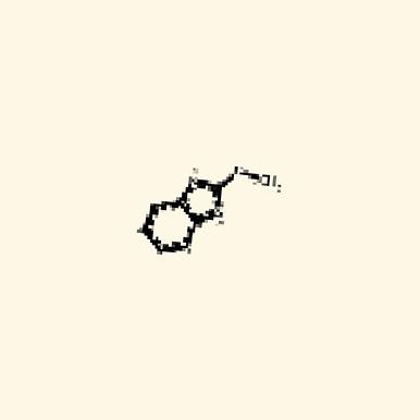 COc1nc2ccccc2s1